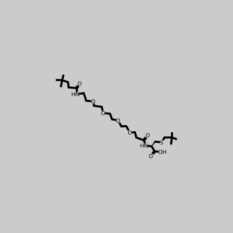 CC(C)(C)CCC(=O)NCCOCCOCCOCCOCCC(=O)N[C@@H](CSCC(C)(C)C)C(=O)O